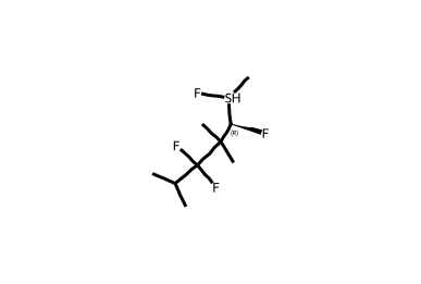 CC(C)C(F)(F)C(C)(C)[C@H](F)[SH](C)F